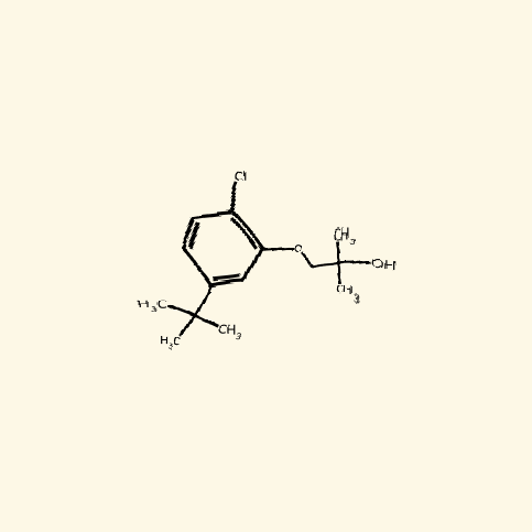 CC(C)(O)COc1cc(C(C)(C)C)ccc1Cl